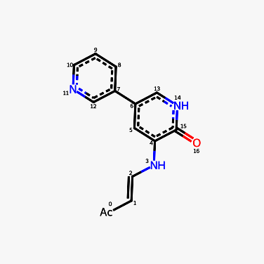 CC(=O)C=CNc1cc(-c2cccnc2)c[nH]c1=O